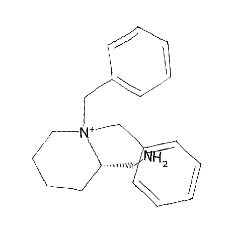 NC[C@@H]1CCCC[N+]1(Cc1ccccc1)Cc1ccccc1